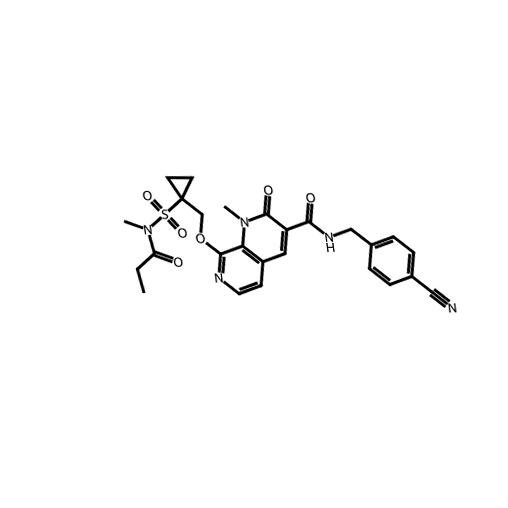 CCC(=O)N(C)S(=O)(=O)C1(COc2nccc3cc(C(=O)NCc4ccc(C#N)cc4)c(=O)n(C)c23)CC1